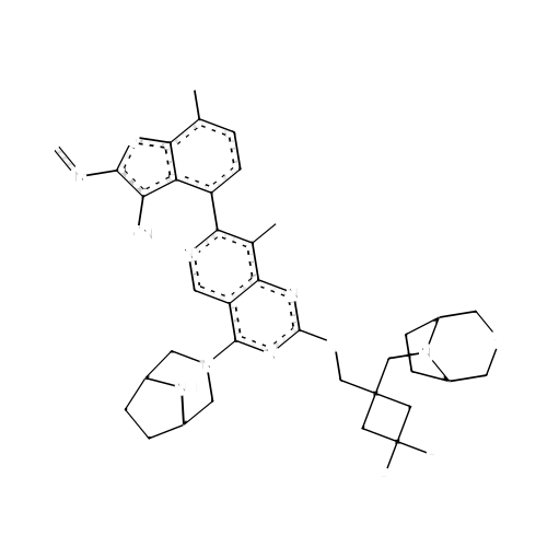 C=Nc1sc2c(F)ccc(-c3ncc4c(N5CC6CCC(C5)N6)nc(OCC5(CN6C7CCC6COC7)CC(F)(F)C5)nc4c3F)c2c1C#N